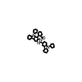 O=c1c2ccccc2c2c3c(cc4nc(-c5ccc6c(c5)c5ccccc5n6-c5ccccc5)n1c42)c1ccccc1n3-c1ccccc1